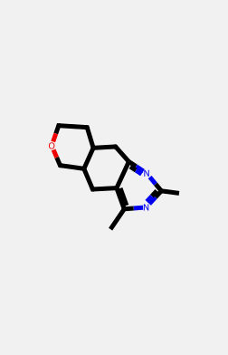 Cc1nc(C)c2c(n1)CC1CCOCC1C2